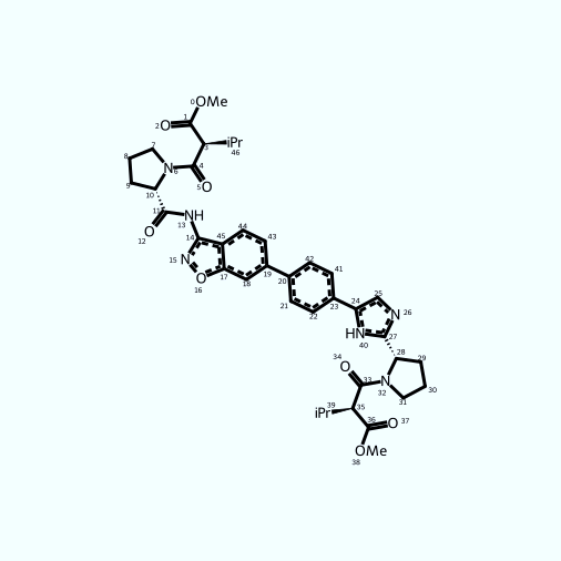 COC(=O)[C@H](C(=O)N1CCC[C@H]1C(=O)Nc1noc2cc(-c3ccc(-c4cnc([C@@H]5CCCN5C(=O)[C@@H](C(=O)OC)C(C)C)[nH]4)cc3)ccc12)C(C)C